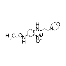 CCONc1ccc(NCCCN2CCOCC2)c([N+](=O)[O-])c1